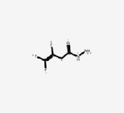 NNC(=O)CC(F)=C(F)F